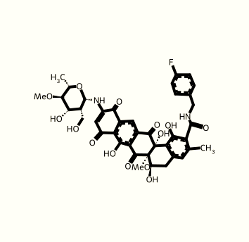 CO[C@@H]1[C@@H](O)[C@@H](CO)[C@@H](NC2=CC(=O)c3c(cc4c(c3O)C(=O)[C@]3(OC)[C@H](O)Cc5cc(C)c(C(=O)NCc6ccc(F)cc6)c(O)c5[C@]3(O)C4=O)C2=O)O[C@H]1C